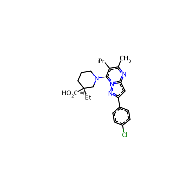 CC[C@@]1(C(=O)O)CCCN(c2c(C(C)C)c(C)nc3cc(-c4ccc(Cl)cc4)nn23)C1